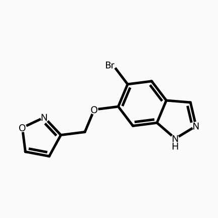 Brc1cc2cn[nH]c2cc1OCc1ccon1